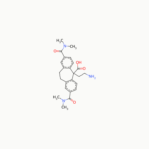 CN(C)C(=O)c1ccc2c(c1)CCc1cc(C(=O)N(C)C)ccc1C2(CCN)C(=O)O